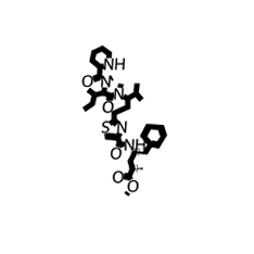 CCC(C)C(C(=O)N(C)C(CCc1nc(C(=O)N[C@@H](Cc2ccccc2)C[C@H](C)C(=O)OC)cs1)C(C)C)N(C)C(=O)C1CCCCN1